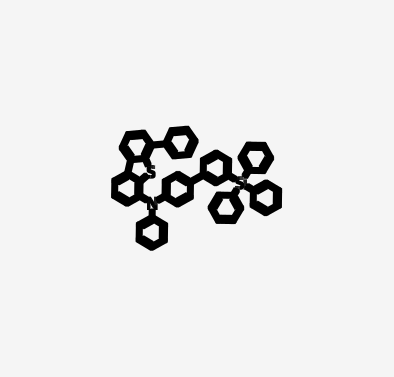 c1ccc(-c2cccc3c2sc2c(N(c4ccccc4)c4ccc(-c5cccc([Si](c6ccccc6)(c6ccccc6)c6ccccc6)c5)cc4)cccc23)cc1